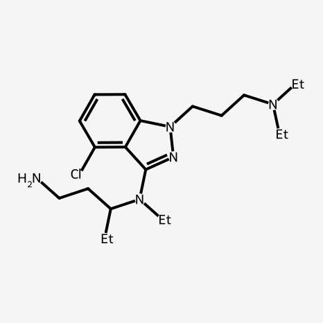 CCC(CCN)N(CC)c1nn(CCCN(CC)CC)c2cccc(Cl)c12